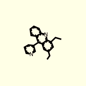 CCc1cc(CC)c2nc3ccccc3c(-c3cccnc3)c2c1